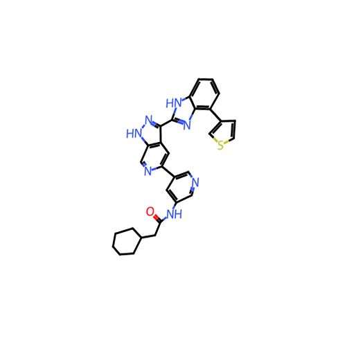 O=C(CC1CCCCC1)Nc1cncc(-c2cc3c(-c4nc5c(-c6ccsc6)cccc5[nH]4)n[nH]c3cn2)c1